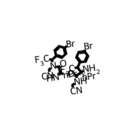 CCCC(=N)C(=O)N(CC#N)C(c1ccc(Br)cc1)C(F)(F)F.CCC[C@](N)(C(=O)NCC#N)C(c1ccc(Br)cc1)C(F)(F)F